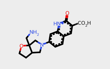 NCC12CN(c3ccc4cc(C(=O)O)c(=O)[nH]c4c3)CC1CCO2